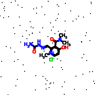 CN(C)C(=O)c1c(O)cc[n+](C)c1C=NNC(N)=O.[Cl-]